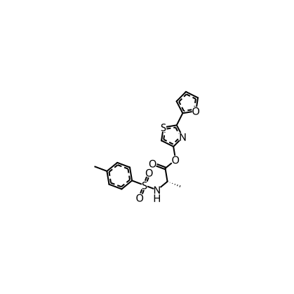 Cc1ccc(S(=O)(=O)N[C@@H](C)C(=O)Oc2csc(-c3ccco3)n2)cc1